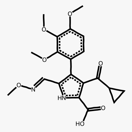 CO/N=C/c1[nH]c(C(=O)O)c(C(=O)C2CC2)c1-c1ccc(OC)c(OC)c1OC